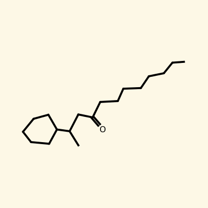 CCCCCCCCC(=O)CC(C)C1CCCCC1